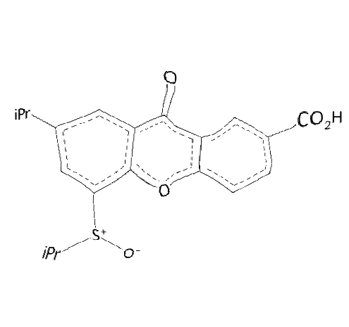 CC(C)c1cc([S+]([O-])C(C)C)c2oc3ccc(C(=O)O)cc3c(=O)c2c1